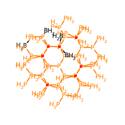 BPP(B)P(P(P)P)P(P(P(P)P)P(P)P)P(P(P(P(P)P)P(P)P)P(P(P)P)P(P)P)P(P(P(P(P)P)P(P)P)P(P(P)P)P(P)P)P(P(P(P)P)P(P)P)P(P(P)P)P(P)P(B)B